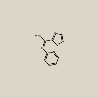 CSC(=Nc1ccccn1)c1nccs1